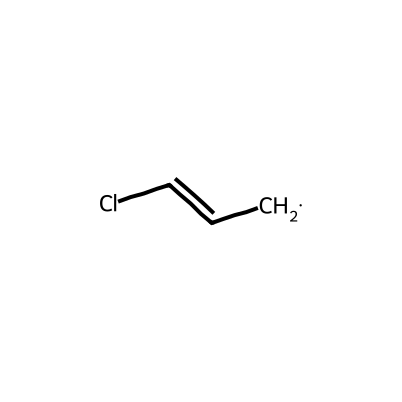 [CH2]C=CCl